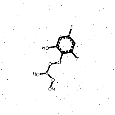 OOB(O)OOc1c(O)cc(F)cc1F